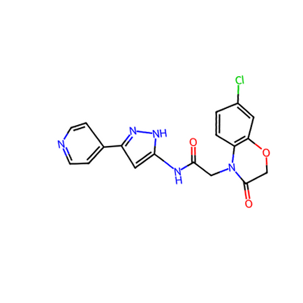 O=C(CN1C(=O)COc2cc(Cl)ccc21)Nc1cc(-c2ccncc2)n[nH]1